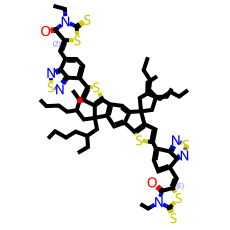 CCCCC(CC)CC1(CC(CC)CCCC)c2cc3c(cc2-c2sc(-c4ccc(/C=C5\SC(=S)N(CC)C5=O)c5nsnc45)cc21)C(CC(CC)CCCC)(CC(CC)CCCC)c1cc(-c2ccc(/C=C4/SC(=S)N(CC)C4=O)c4nsnc24)sc1-3